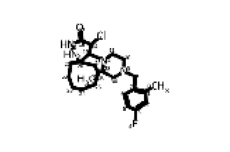 Cc1cc(F)ccc1CN1CCN(C2C(Cl)C(=O)NNC23CCCCCCC3)[C@H](C)C1